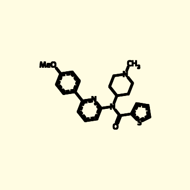 COc1ccc(-c2cccc(N(C(=O)c3cccs3)C3CCN(C)CC3)n2)cc1